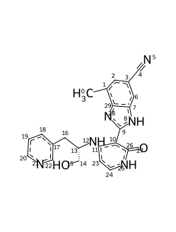 Cc1cc(C#N)cc2[nH]c(-c3c(N[C@H](CO)Cc4cccnc4)cc[nH]c3=O)nc12